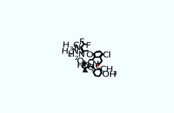 CN(N)/C(=C(\N)COc1ccc(Cl)c2c1C(CN1CC3(CC3)CC1=O)N(C(=O)[C@@H]1CCC[C@H](O)[C@]1(C)C(=O)O)CC2)C(F)F